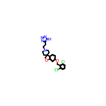 Clc1cccc(Cl)c1COc1ccc2c(c1)OCC21CCN(CCc2nnn[nH]2)CC1